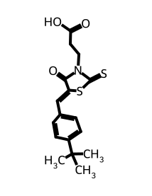 CC(C)(C)c1ccc(/C=C2\SC(=S)N(CCC(=O)O)C2=O)cc1